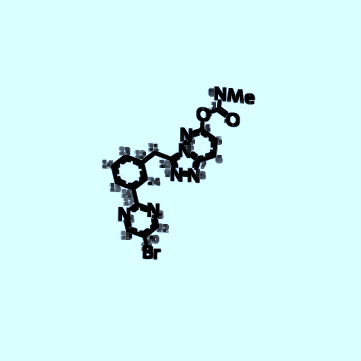 CNC(=O)Oc1ccc2nnc(Cc3cccc(-c4ncc(Br)cn4)c3)n2n1